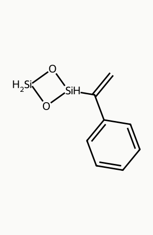 C=C(c1ccccc1)[SiH]1O[SiH2]O1